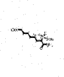 CCCCCCCCCCCCCCCCC(C(N)=O)P(=O)(OC)OC